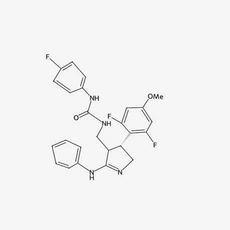 COc1cc(F)c([C@@H]2CN=C(Nc3ccccc3)C2CNC(=O)Nc2ccc(F)cc2)c(F)c1